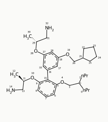 CCCC(CCC)COc1cccc(O[C@H](C)CN)c1-c1cc(OCC2CCCC2)cc(O[C@H](C)CN)c1